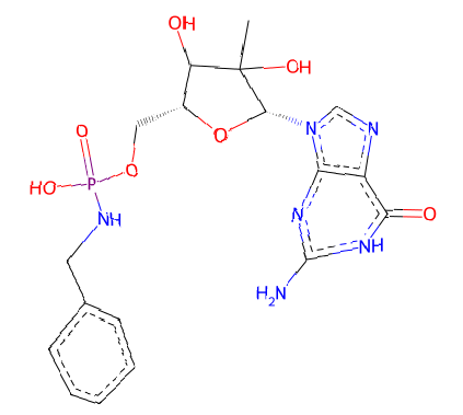 CC1(O)C(O)[C@@H](COP(=O)(O)NCc2ccccc2)O[C@H]1n1cnc2c(=O)[nH]c(N)nc21